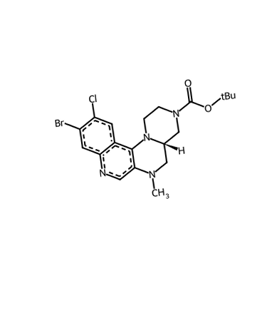 CN1C[C@H]2CN(C(=O)OC(C)(C)C)CCN2c2c1cnc1cc(Br)c(Cl)cc21